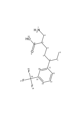 CCC(CCC(CN)C(=O)O)c1cccc(C(F)(F)F)c1